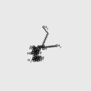 CCCCCCCC/C=C\CCCCCCCCCCCCCC(=O)N[C@@H](CO[C@@H]1OC(CO)[C@@H](O[C@@H]2OC(CO)[C@H](O)[C@H](O[C@@H]3OC(CO)[C@@H](O[C@@H]4OC(CO)[C@H](O)[C@H](O[C@H]5OC(CO)[C@H](O)[C@H](O)C5O)C4O[C@H]4OC(C)[C@@H](O)C(O)[C@@H]4O)[C@H](O)C3NC(C)=O)C2O)[C@H](O)C1O)[C@H](O)/C=C/CCCCCCCCCCCCC